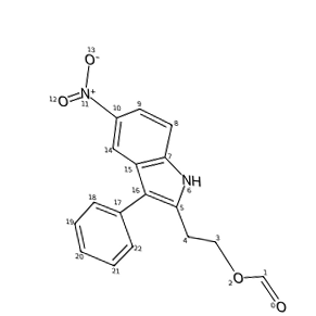 O=COCCc1[nH]c2ccc([N+](=O)[O-])cc2c1-c1ccccc1